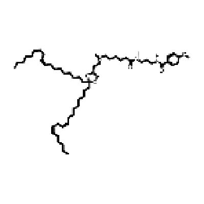 CCCCC/C=C\C/C=C\CCCCCCCCC1(CCCCCCCC/C=C\C/C=C\CCCCC)OCC(CCN(C)CCCCCC(=O)NCCCNC(=O)C2=CCC(OC)C=C2)O1